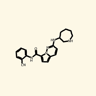 N#Cc1ccccc1NC(=O)c1ccc2ccc(NC3CCCCNC3)nn12